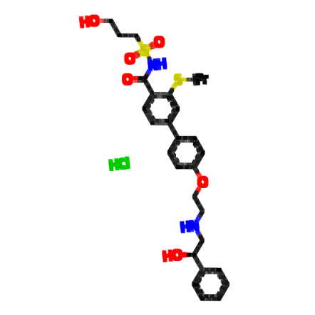 CC(C)Sc1cc(-c2ccc(OCCNC[C@H](O)c3ccccc3)cc2)ccc1C(=O)NS(=O)(=O)CCCO.Cl